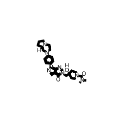 CN(C)C(=O)N1CCC(O)(Cn2cnc3c(cnn3-c3ccc(N4CCN5CCC[C@H]5C4)cc3)c2=O)CC1